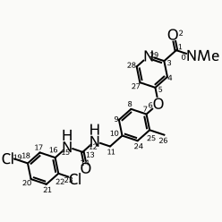 CNC(=O)c1cc(Oc2ccc(CNC(=O)Nc3cc(Cl)ccc3Cl)cc2C)ccn1